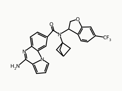 Nc1nc2ccc(C(=O)N(C3COc4cc(C(F)(F)F)ccc43)C34CC(C3)C4)cc2n2cccc12